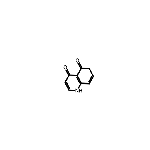 O=C1CC=Cc2[nH]ccc(=O)c21